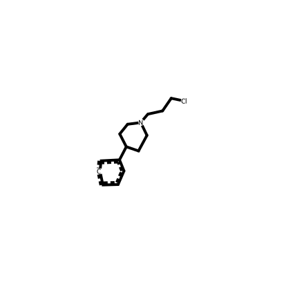 ClCCCN1CCC(c2ccccc2)CC1